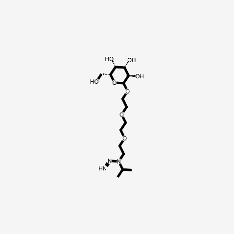 CC(C)N(CCOCCOCCOC1O[C@H](CO)[C@H](O)[C@H](O)[C@H]1O)N=N